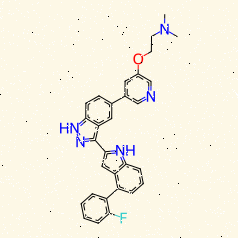 CN(C)CCOc1cncc(-c2ccc3[nH]nc(-c4cc5c(-c6ccccc6F)cccc5[nH]4)c3c2)c1